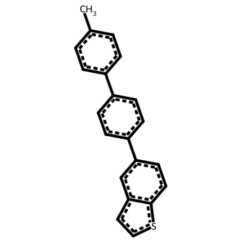 Cc1ccc(-c2ccc(-c3ccc4sccc4c3)cc2)cc1